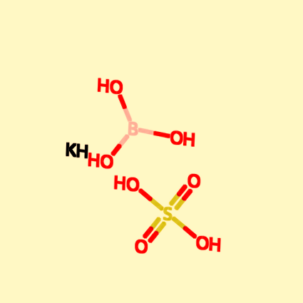 O=S(=O)(O)O.OB(O)O.[KH]